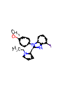 CCn1cccc1-c1nc2c(I)cccc2n1-c1ccc(OC)cc1